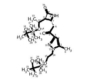 Cc1cc(C(=O)C[C@H]2NC(=O)[C@@H]2[C@@H](C)O[Si](C)(C)C(C)(C)C)nn1CCO[Si](C)(C)C(C)(C)C